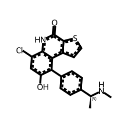 CN[C@@H](C)c1ccc(-c2c(O)cc(Cl)c3[nH]c(=O)c4sccc4c23)cc1